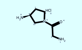 Cl.NCC(=O)N1CC[C@H](N)C1